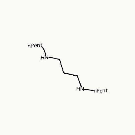 CCCCCNCCCNCCCCC